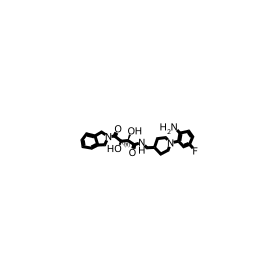 Nc1ccc(F)cc1N1CCC(CNC(=O)[C@H](O)[C@@H](O)C(=O)N2Cc3ccccc3C2)CC1